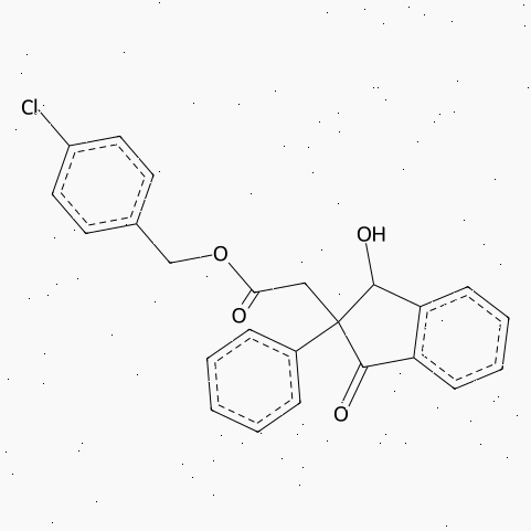 O=C(CC1(c2ccccc2)C(=O)c2ccccc2C1O)OCc1ccc(Cl)cc1